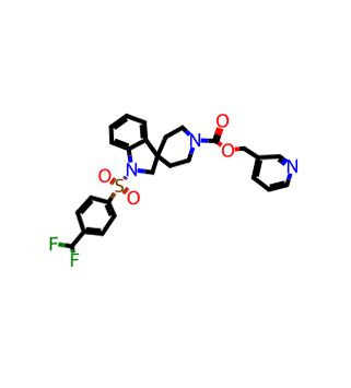 O=C(OCc1cccnc1)N1CCC2(CC1)CN(S(=O)(=O)c1ccc(C(F)F)cc1)c1ccccc12